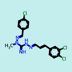 CN(N=Cc1ccc(Cl)cc1)C(=N)NN=C/C=C/c1ccc(Cl)c(Cl)c1